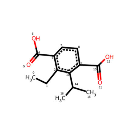 CCc1c(C(=O)O)ccc(C(=O)O)c1C(C)C